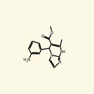 COC(=O)C1=C(C)Nc2nccn2C1c1cccc(N)c1